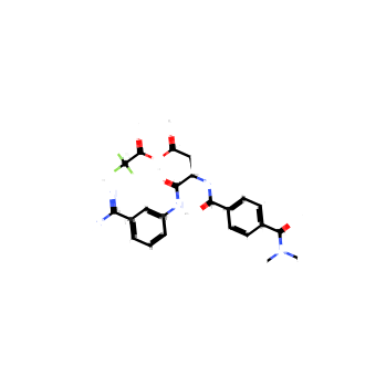 CN(C)C(=O)c1ccc(C(=O)N[C@H](CC(=O)OC(=O)C(F)(F)F)C(=O)Nc2cccc(C(=N)N)c2)cc1